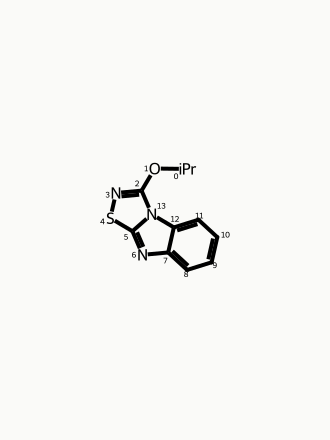 CC(C)Oc1nsc2nc3ccccc3n12